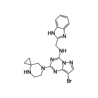 Brc1cnn2c(NCc3nc4ccccc4[nH]3)nc(N3CCNC4(CC4)C3)nc12